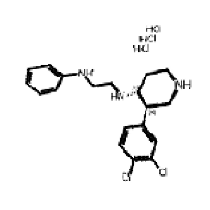 Cl.Cl.Cl.Clc1ccc([C@@H]2CNCC[C@H]2NCCNc2ccccc2)cc1Cl